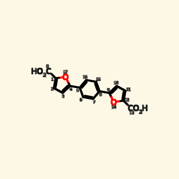 O=C(O)c1ccc(-c2ccc(-c3ccc(C(=O)O)o3)cc2)o1